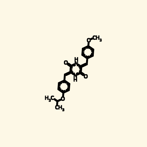 COc1ccc(/C=c2\[nH]c(=O)/c(=C/c3ccc(OC(C)C)cc3)[nH]c2=O)cc1